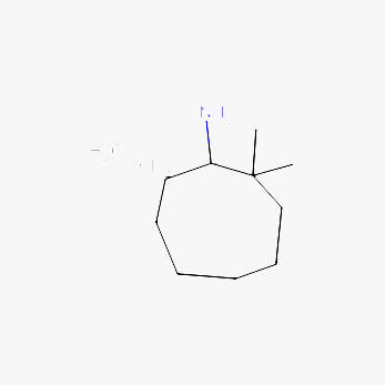 C.C.CC1(C)CCCCCC[C]1N